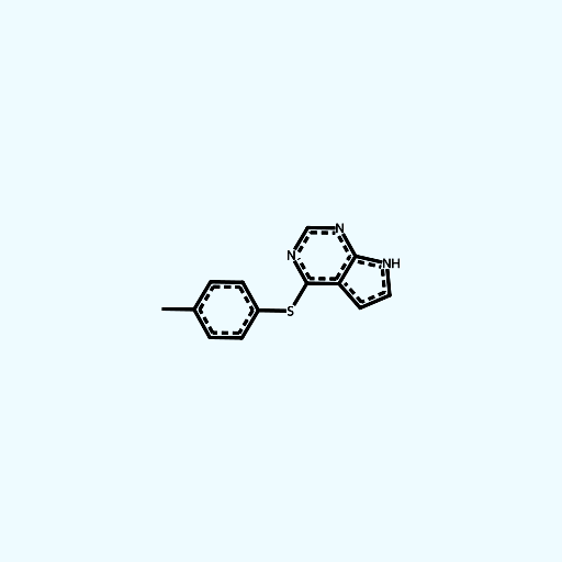 Cc1ccc(Sc2ncnc3[nH]ccc23)cc1